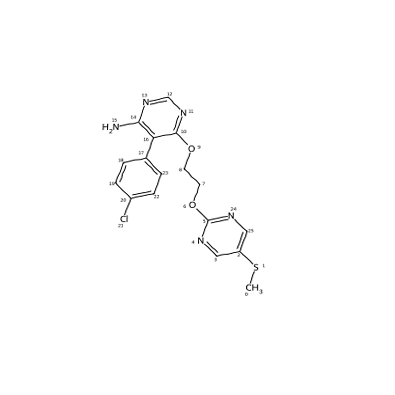 CSc1cnc(OCCOc2ncnc(N)c2-c2ccc(Cl)cc2)nc1